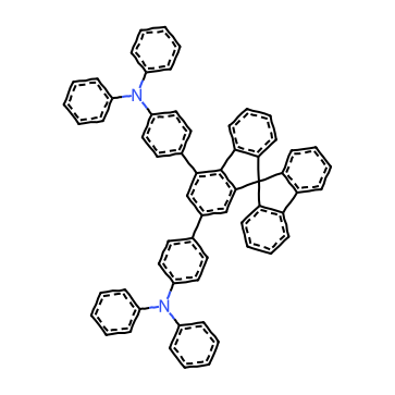 c1ccc(N(c2ccccc2)c2ccc(-c3cc(-c4ccc(N(c5ccccc5)c5ccccc5)cc4)c4c(c3)C3(c5ccccc5-c5ccccc53)c3ccccc3-4)cc2)cc1